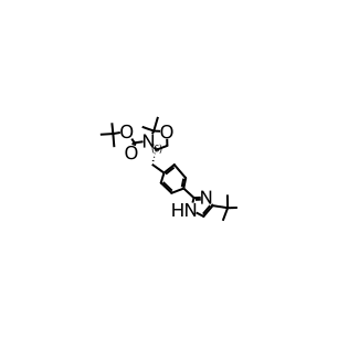 CC(C)(C)OC(=O)N1[C@@H](Cc2ccc(-c3nc(C(C)(C)C)c[nH]3)cc2)COC1(C)C